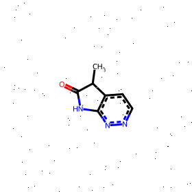 CC1C(=O)Nc2nnccc21